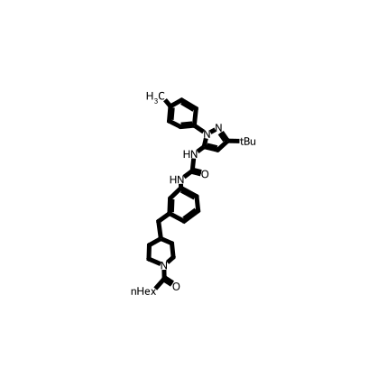 CCCCCCC(=O)N1CCC(Cc2cccc(NC(=O)Nc3cc(C(C)(C)C)nn3-c3ccc(C)cc3)c2)CC1